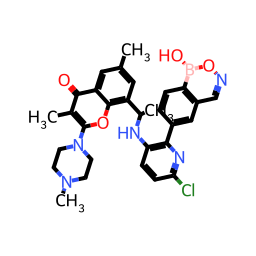 Cc1cc(C(C)Nc2ccc(Cl)nc2-c2ccc3c(c2)C=NOB3O)c2oc(N3CCN(C)CC3)c(C)c(=O)c2c1